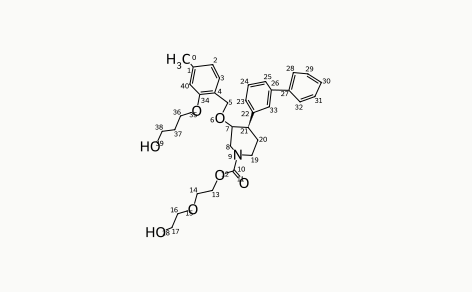 Cc1ccc(COC2CN(C(=O)OCCOCCO)CC[C@@H]2c2cccc(-c3ccccc3)c2)c(OCCCO)c1